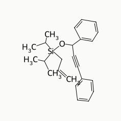 C=CC[Si](OC(C#Cc1ccccc1)c1ccccc1)(C(C)C)C(C)C